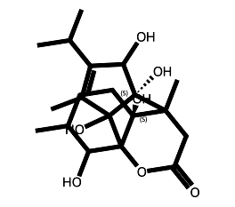 CC1=C(C(C)C)C(O)[C@]2(O)C1(O)C13OC(=O)CC2(C)[C@@]1(O)CCC(C)C3O